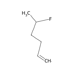 [CH]=CCCC(C)F